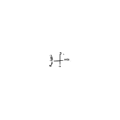 [2H][13C](=O)C([2H])(C)[13CH3]